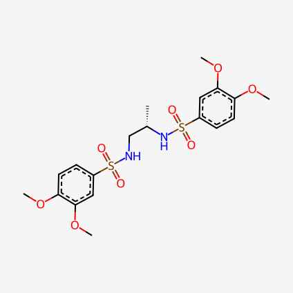 COc1ccc(S(=O)(=O)NC[C@H](C)NS(=O)(=O)c2ccc(OC)c(OC)c2)cc1OC